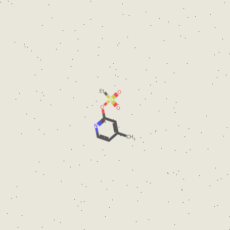 CCS(=O)(=O)Oc1cc(C)ccn1